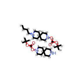 CC(C)(C)OC(=O)ON1CCC2(CCNCC2)CC1.CCCCN1CCC2(CC1)CCN(OC(=O)OC(C)(C)C)CC2